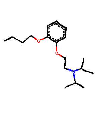 CCCCOc1ccccc1OCCN(C(C)C)C(C)C